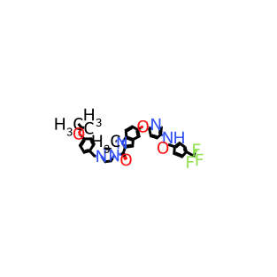 CC(C)Oc1ccc(CN2CCN(C(=O)c3cc4cc(Oc5ccc(NC(=O)c6ccc(C(F)(F)F)cc6)cn5)ccc4n3C)CC2)cc1